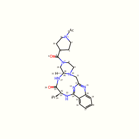 CC(=O)N1CCC(C(=O)N2CCN3Cc4nc(c5ccccc5n4)N[C@@H](C(C)C)C(=O)N[C@H]3C2)CC1